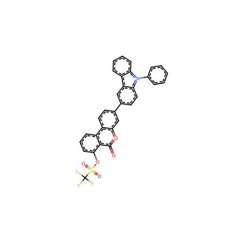 O=c1oc2cc(-c3ccc4c(c3)c3ccccc3n4-c3ccccc3)ccc2c2cccc(OS(=O)(=O)C(F)(F)F)c12